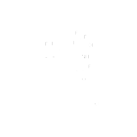 CCc1cc(OCC(F)(F)C(Cc2cccc(C(F)(F)C(F)(F)F)c2)NCC(O)C(F)(F)F)ccc1Cl